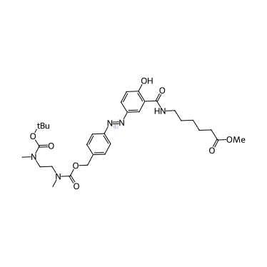 COC(=O)CCCCCNC(=O)c1cc(/N=N/c2ccc(COC(=O)N(C)CCN(C)C(=O)OC(C)(C)C)cc2)ccc1O